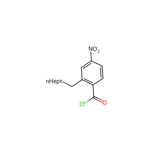 CCCCCCCCc1cc([N+](=O)[O-])ccc1C(=O)Cl